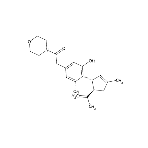 C=C(C)[C@@H]1CC(C)=C[C@H]1c1c(O)cc(CC(=O)N2CCOCC2)cc1O